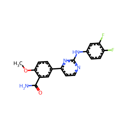 COc1ccc(-c2ccnc(Nc3ccc(F)c(F)c3)n2)cc1C(N)=O